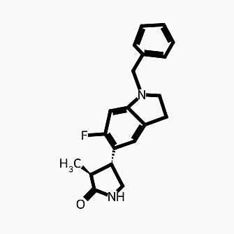 C[C@@H]1C(=O)NC[C@H]1c1cc2c(cc1F)N(Cc1ccccc1)CC2